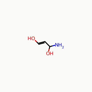 NC(O)C=CO